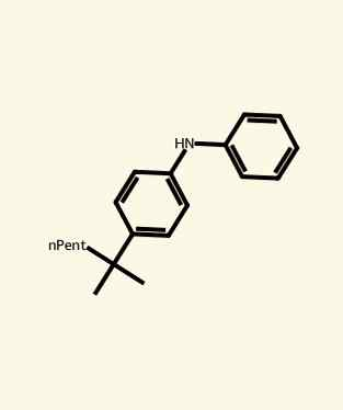 CCCCCC(C)(C)c1ccc(Nc2ccccc2)cc1